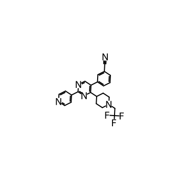 N#Cc1cccc(-c2cnc(-c3ccncc3)nc2C2CCN(CC(F)(F)F)CC2)c1